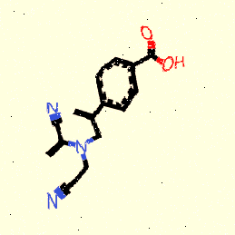 C=C(CN(CC#N)C(=C)C#N)c1ccc(C(=O)O)cc1